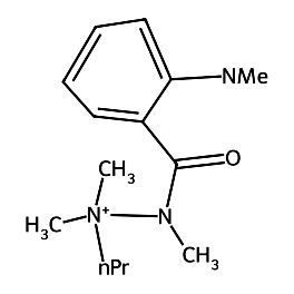 CCC[N+](C)(C)N(C)C(=O)c1ccccc1NC